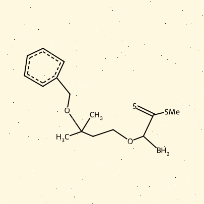 BC(OCCC(C)(C)OCc1ccccc1)C(=S)SC